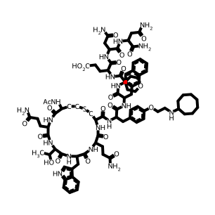 CC(=O)NC1CCSCC(C(=O)NC(Cc2ccc(OCCNC3CCCCCCC3)cc2)C(=O)NC(Cc2ccc3ccccc3c2)C(=O)NC2(C(=O)NC(CCC(=O)O)C(=O)NC(CC(N)=O)C(=O)NC(CC(N)=O)C(N)=O)CCOCC2)NC(=O)C(CCC(N)=O)NC(=O)C(Cc2c[nH]c3ccccc23)NC(=O)C(C(C)O)NC(=O)C(CCC(N)=O)NC1=O